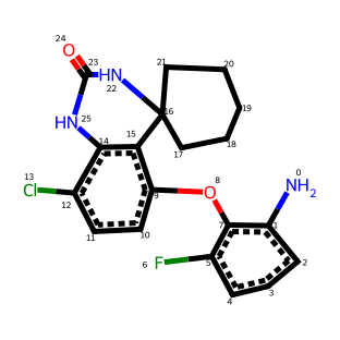 Nc1cccc(F)c1Oc1ccc(Cl)c2c1C1(CCCCC1)NC(=O)N2